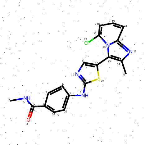 CNC(=O)c1ccc(Nc2ncc(-c3c(C)nc4cccc(Cl)n34)s2)cc1